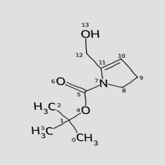 CC(C)(C)OC(=O)N1CCC=C1CO